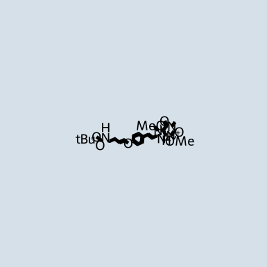 CO[C@]12C(=O)N(C)C(=O)[N@+](C)(OC)[C@@H]1N=C(C=Cc1ccc(OC=CCCNC(=O)OC(C)(C)C)cc1)N2C